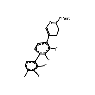 CCCCCC1CCC(c2ccc(-c3ccc(C)c(F)c3F)c(F)c2F)=CO1